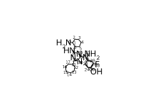 NC1CCCCC1Nc1nc(C2CCCCCC2)nc(N(N)c2ccc(O)c(F)c2)n1